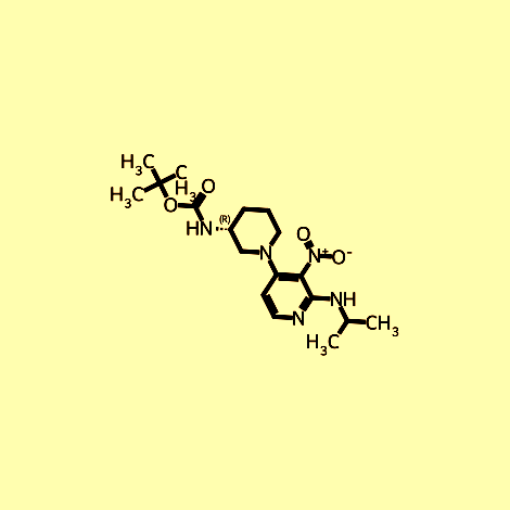 CC(C)Nc1nccc(N2CCC[C@@H](NC(=O)OC(C)(C)C)C2)c1[N+](=O)[O-]